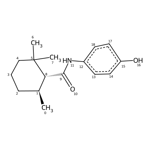 C[C@H]1CCCC(C)(C)[C@@H]1C(=O)Nc1ccc(O)cc1